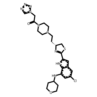 O=C(Cn1cnnn1)N1CCN(CC[C@@H]2CSC(c3cc4cc(Cl)cc(NC5CCOCC5)c4[nH]3)=N2)CC1